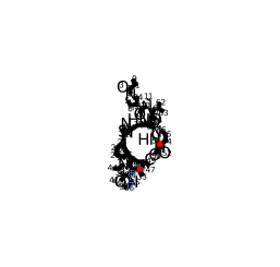 C=CC(=O)N1CC[C@H](C(=O)N(C)[C@H](C(=O)N[C@H]2Cc3nsc(n3)-c3ccc4c(c3)c(c(/C(C=C)=C(/N=C\C)[C@H](C)OC)n4CC)CC(C)(C)COC(=O)[C@@H]3CCCN(N3)C2=O)C(C)C)C1